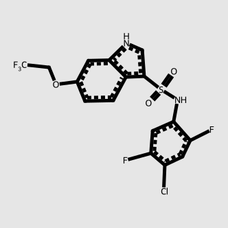 O=S(=O)(Nc1cc(F)c(Cl)cc1F)c1c[nH]c2cc(OCC(F)(F)F)ccc12